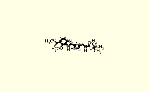 COC(=O)c1ccc2nc(-c3nc(CNC(=O)OC(C)(C)C)c[nH]3)[nH]c2c1OC